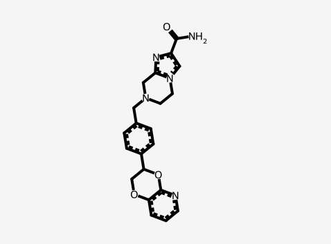 NC(=O)c1cn2c(n1)CN(Cc1ccc(C3COc4cccnc4O3)cc1)CC2